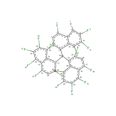 Fc1cc(F)c2c(F)c(F)c(F)c(F)c2c1B(c1c(F)cc(F)c2c(F)c(F)c(F)c(F)c12)c1c(F)cc(F)c2c(F)c(F)c(F)c(F)c12